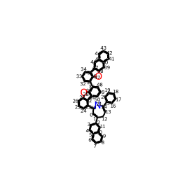 C1=C(c2ccc3ccccc3c2)CC=C(c2ccccc2)N=C1c1cccc2oc3c(-c4cccc5c4oc4cc6ccccc6cc45)cccc3c12